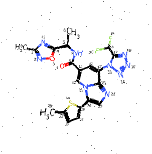 Cc1noc([C@@H](C)NC(=O)c2cc(-n3nnnc3C(F)F)c3ncc(-c4ccc(C)s4)n3c2)n1